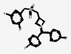 O=S(=O)(Cc1cc(F)cc(F)c1)CC1CN(C(c2ccc(F)cc2)c2ccc(F)cc2)C1